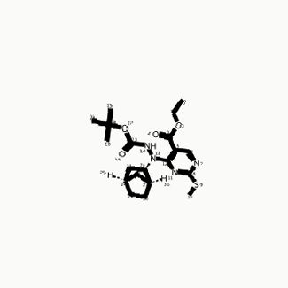 CCOC(=O)c1cnc(SC)nc1N(NC(=O)OC(C)(C)C)[C@H]1C[C@@H]2CC[C@H]1C2